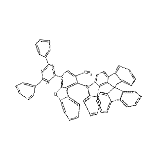 FC(F)(F)c1cc(-c2nc(-c3ccccc3)nc(-c3ccccc3)n2)c2oc3ccccc3c2c1-n1c2ccccc2c2c3c(ccc21)-c1ccccc1C31c2ccccc2-c2ccccc21